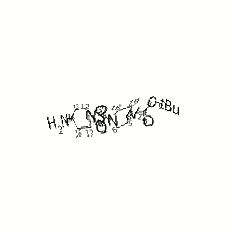 CC(C)(C)OC(=O)N1CCN(S(=O)(=O)N2CCC(N)CC2)CC1